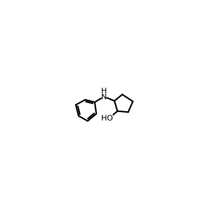 OC1CCCC1Nc1ccccc1